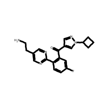 NCCc1cnc(-c2ccc(F)cc2C(=O)c2cnn(C3CCC3)c2)nc1